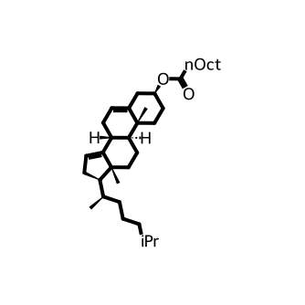 CCCCCCCCC(=O)O[C@H]1CC[C@@]2(C)C(=CC[C@H]3C4=CC[C@H]([C@H](C)CCCC(C)C)[C@@]4(C)CC[C@@H]32)C1